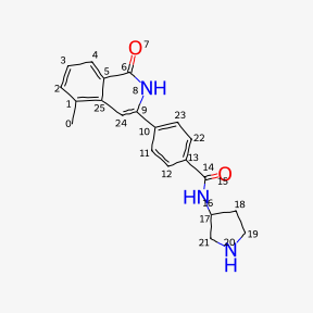 Cc1cccc2c(=O)[nH]c(-c3ccc(C(=O)NC4CCNC4)cc3)cc12